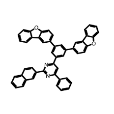 c1ccc(-c2cc(-c3cc(-c4ccc5oc6ccccc6c5c4)cc(-c4ccc5oc6ccccc6c5c4)c3)nc(-c3ccc4ccccc4c3)n2)cc1